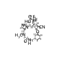 CN1CC(=O)NCC2C=CC=C(C2)OC2CC(=CC=C2C#N)Cn2cncc2C1.O=C(O)C(F)(F)F